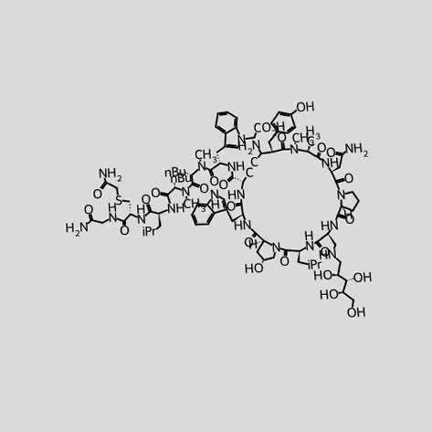 CCCC[C@@H](C(=O)N(C)[C@@H](CCCC)C(=O)N[C@@H](CC(C)C)C(=O)N[C@@H](CSCC(N)=O)C(=O)NCC(N)=O)N(C)C(=O)[C@H](Cc1cn(CC(=O)O)c2ccccc12)NC(=O)[C@@H]1CCC(N)[C@@H](Cc2ccc(O)cc2)C(=O)N(C)[C@@H](C)C(=O)N[C@@H](CC(N)=O)C(=O)N2CCC[C@H]2C(=O)N[C@@H](CNC[C@H](O)[C@H](O)[C@H](O)CO)C(=O)N[C@@H](CC(C)C)C(=O)N2C[C@H](O)C[C@H]2C(=O)N[C@@H](Cc2c[nH]c3ccccc23)C(=O)N1